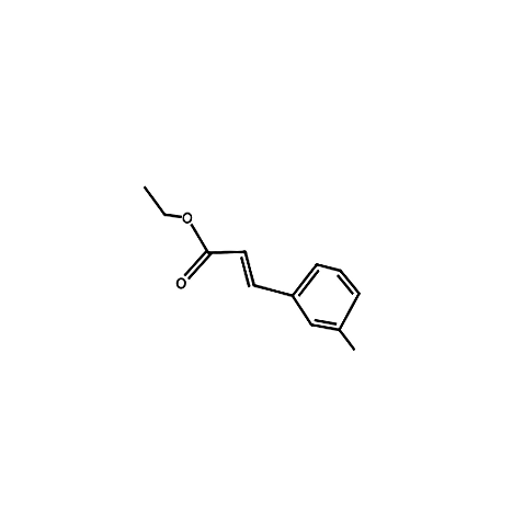 CCOC(=O)C=Cc1cccc(C)c1